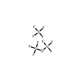 FS(F)(F)F.F[Si](F)(F)O[Si](F)(F)F